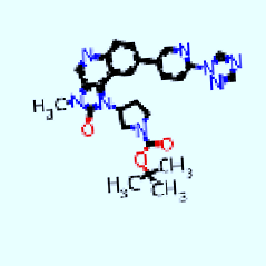 Cn1c(=O)n(C2CCN(C(=O)OC(C)(C)C)C2)c2c3cc(-c4ccc(-n5cncn5)nc4)ccc3ncc21